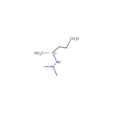 CN(C)N[C@@H](CCC(=O)O)C(=O)O